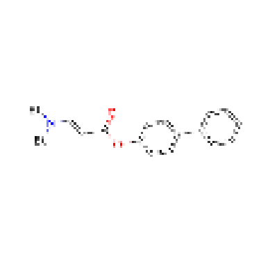 CCN(C=CC(=O)Oc1ccc(-c2ccccc2)cc1)CC